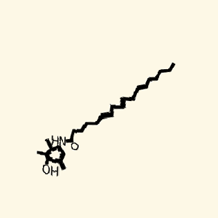 CCCCCC=CCC=CCC=CCCCCC(=O)Nc1cc(C)c(O)c(C)c1C